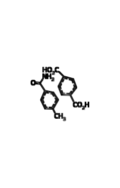 Cc1ccc(C(N)=O)cc1.O=C(O)c1ccc(C(=O)O)cc1